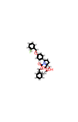 COC(=O)[C@]1(CO)CC[C@H](c2ccc(OCc3ccccc3F)cc2)N1C(=O)OCc1ccccc1